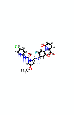 COC1CC(CNc2ccc(-n3c(C(=O)O)cccc3=O)cc2F)N(C(=O)Nc2ccc(Cl)cn2)C1